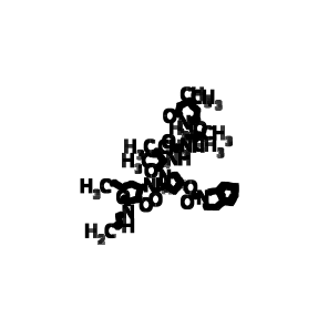 C=CCNC(=O)C(=O)C(CCCC)NC(=O)[C@@H]1C[C@@H](OC(=O)N2CCc3ccccc3C2)CN1C(=O)[C@@H](NC(=O)N[C@H](CN1C(=O)CC(C)(C)CC1=O)C(C)(C)C)C(C)(C)C